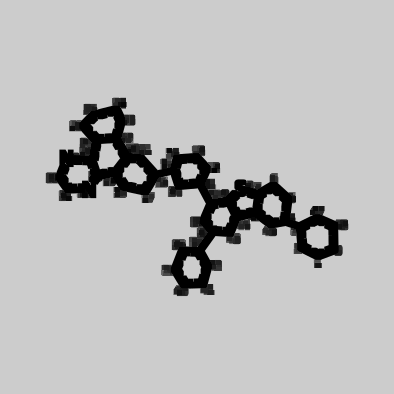 c1ccc(-c2ccc3sc4c(-c5cccc(-c6ccc7c(c6)c6ccccc6c6nccnc76)c5)cc(-c5ccccc5)cc4c3c2)cc1